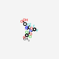 COc1cc(Cl)c(C(=O)CN(Cc2cc(F)cc(F)c2)C(=O)c2cnn(C3CCC(C(=O)O)CC3)c2C(F)(F)F)c(Cl)c1